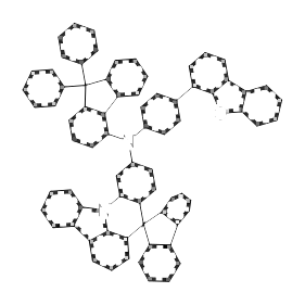 c1ccc(C2(c3ccccc3)c3ccccc3-c3c(N(c4ccc(-c5cccc6c5oc5ccccc56)cc4)c4ccc5c(c4)-n4c6ccccc6c6cccc(c64)C54c5ccccc5-c5ccccc54)cccc32)cc1